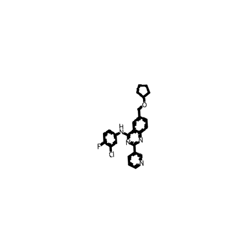 Fc1ccc(Nc2nc(-c3cccnc3)nc3ccc(COC4CCCC4)cc23)cc1Cl